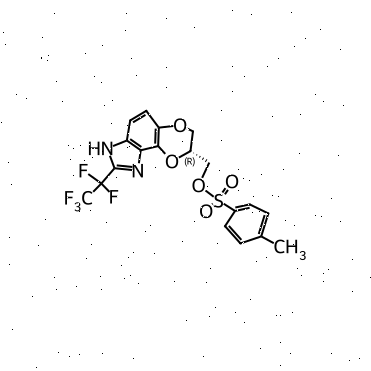 Cc1ccc(S(=O)(=O)OC[C@H]2COc3ccc4[nH]c(C(F)(F)C(F)(F)F)nc4c3O2)cc1